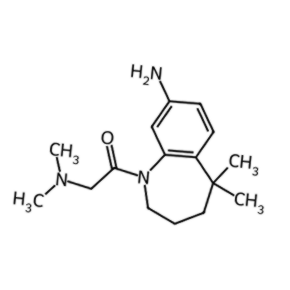 CN(C)CC(=O)N1CCCC(C)(C)c2ccc(N)cc21